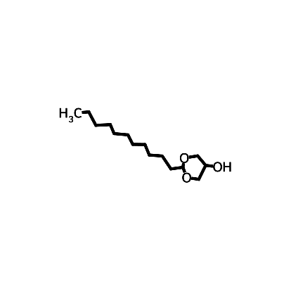 CCCCCCCCCCCC1OCC(O)CO1